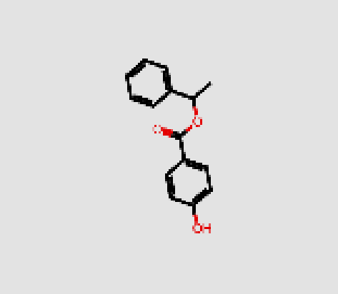 CC(OC(=O)c1ccc(O)cc1)c1ccccc1